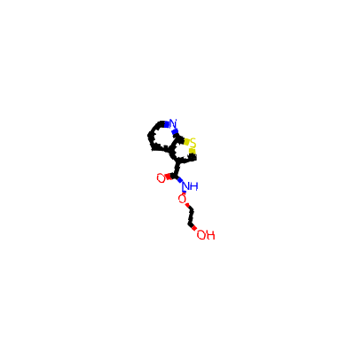 O=C(NOCCO)c1csc2ncccc12